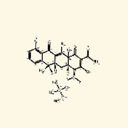 CN(C)[C@@H]1C(O)=C(C(N)=O)C(=O)[C@@]2(O)C(O)=C3C(=O)c4c(O)cccc4[C@@](C)(O)[C@H]3C[C@@H]12.Cl.O[Si](O)(O)O